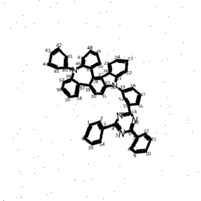 c1ccc(-c2nc(-c3ccccc3)nc(-c3cccc(-n4c5ccccc5c5c6c(ccc54)-c4ccccc4N(c4ccccc4)c4ccccc4-6)c3)n2)cc1